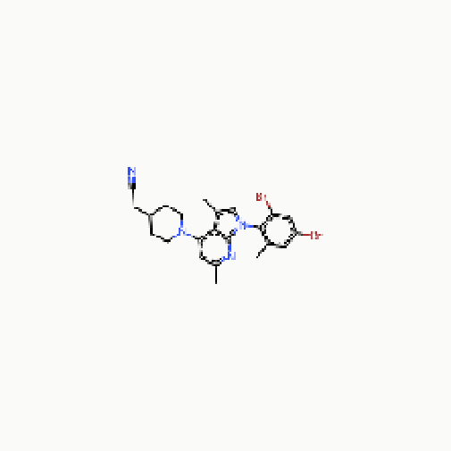 Cc1cc(N2CCC(CC#N)CC2)c2c(C)cn(-c3c(C)cc(Br)cc3Br)c2n1